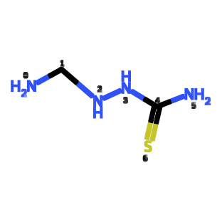 NCNNC(N)=S